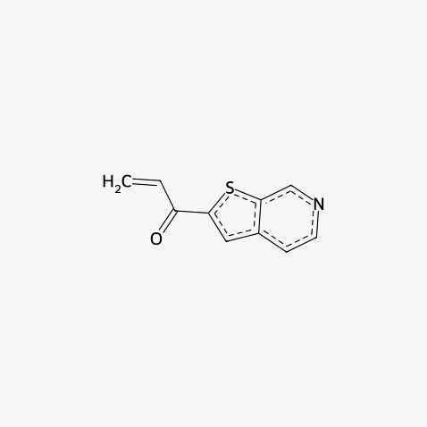 C=CC(=O)c1cc2ccncc2s1